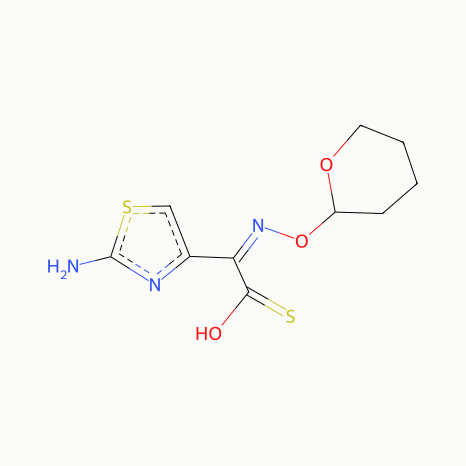 Nc1nc(/C(=N/OC2CCCCO2)C(O)=S)cs1